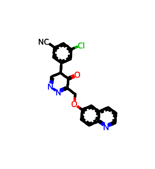 N#Cc1cc(Cl)cc(C2C=NN=C(COc3ccc4ncccc4c3)C2=O)c1